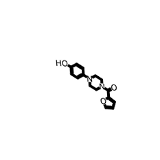 O=C(c1ccco1)N1CCN(c2ccc(O)cc2)CC1